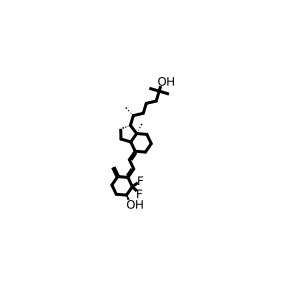 C=C1CC[C@H](O)C(F)(F)/C1=C/C=C1CCC[C@@]2(C)C1CC[C@@H]2[C@H](C)CCCC(C)(C)O